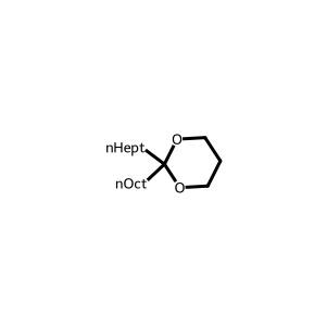 CCCCCCCCC1(CCCCCCC)OCCCO1